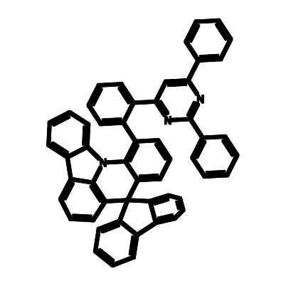 c1ccc(-c2cc(-c3ccccc3-c3cccc4c3-n3c5ccccc5c5cccc(c53)C43c4ccccc4-c4ccccc43)nc(-c3ccccc3)n2)cc1